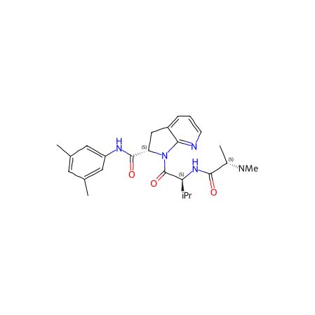 CN[C@@H](C)C(=O)N[C@H](C(=O)N1c2ncccc2C[C@H]1C(=O)Nc1cc(C)cc(C)c1)C(C)C